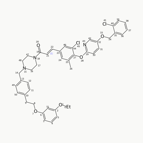 CCOc1cccc(OCCc2ccc(CN3CCN(C(=O)/C=C/c4cc(C)c(Oc5ccc(OCc6ccccc6Cl)cn5)c(Cl)c4)CC3)cc2)c1